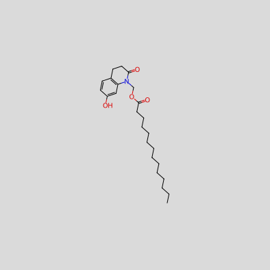 CCCCCCCCCCCCCC(=O)OCN1C(=O)CCc2ccc(O)cc21